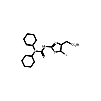 CCOC(=O)CC1N=C(NC(=O)N(C2CCCCC2)C2CCCCC2)SC1Br